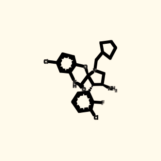 N[C@@H]1CN(CC2CCCC2)[C@]2(Oc3ccc(Cl)cc3NC2=O)[C@H]1c1cccc(Cl)c1F